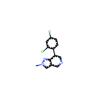 Cn1cc2cncc(-c3ccc(Cl)cc3Cl)c2n1